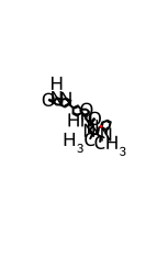 Cc1nc2ccccc2c2c1c(C)nn2C(=O)N[C@@H]1COc2cc(-c3cnc4c(c3)CC(=O)N4)ccc21